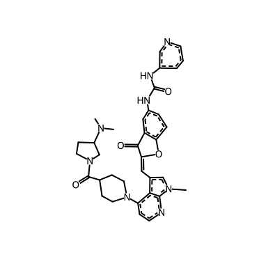 CN(C)C1CCN(C(=O)C2CCN(c3ccnc4c3c(/C=C3\Oc5ccc(NC(=O)Nc6cccnc6)cc5C3=O)cn4C)CC2)C1